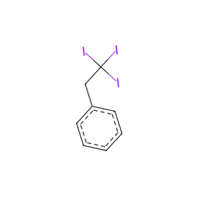 IC(I)(I)Cc1ccccc1